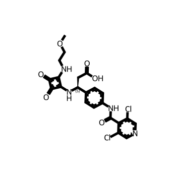 COCCNc1c(N[C@@H](CC(=O)O)c2ccc(NC(=O)c3c(Cl)cncc3Cl)cc2)c(=O)c1=O